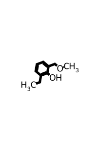 CCc1cccc(COC)c1O